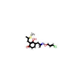 CCCSC(C)CC1=C(O)C(C/C(C)=N/OCC=CCl)CCC1=O